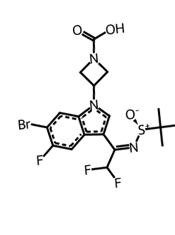 CC(C)(C)[S@+]([O-])/N=C(\c1cn(C2CN(C(=O)O)C2)c2cc(Br)c(F)cc12)C(F)F